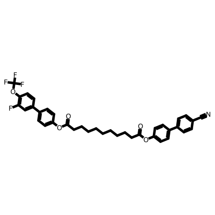 N#Cc1ccc(-c2ccc(OC(=O)CCCCCCCCCC(=O)Oc3ccc(-c4ccc(OC(F)(F)F)c(F)c4)cc3)cc2)cc1